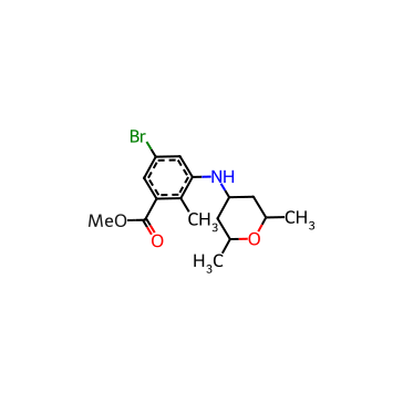 COC(=O)c1cc(Br)cc(NC2CC(C)OC(C)C2)c1C